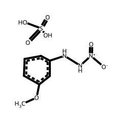 COc1cccc(NN[N+](=O)[O-])c1.O=S(=O)(O)O